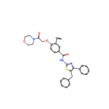 COc1cc(C(=O)Nc2nc(-c3ccccc3)c(Cc3ccccc3)s2)ccc1OCC(=O)N1CCOCC1